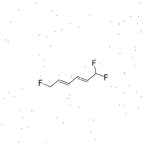 FCC=CC=CC(F)F